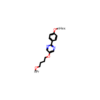 CCCCCCOc1ccc(-c2ncc(OCCCCOCCC)cn2)cc1